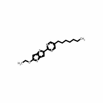 CCCCCCCc1cnc(-c2cc3sc(OCC)cc3s2)nc1